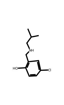 CC(C)CNCc1cc(Cl)ccc1O